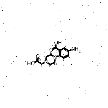 Nc1ccc(N2CCN(CC(=O)O)CC2)c(C(=O)O)c1